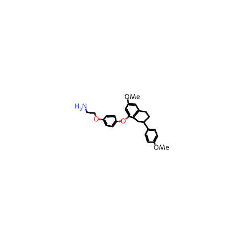 COc1ccc(C2CCc3cc(OC)cc(Oc4ccc(OCCN)cc4)c3C2)cc1